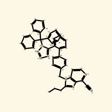 CCCc1nc2c(C#N)nccc2n1Cc1ccc(-c2ccccc2-c2nnnn2C(c2ccccc2)(c2ccccc2)c2ccccc2)cc1